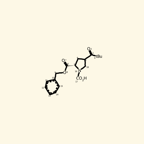 CC(C)(C)C(=O)C1C[C@@H](C(=O)OCc2ccccc2)N(C(=O)O)C1